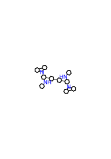 c1ccc(Nc2ccc(-n3c4ccccc4c4ccccc43)cc2-c2ccc(-c3ccc(-c4cc(-n5c6ccccc6c6ccccc65)ccc4Nc4ccccc4)cc3)cc2)cc1